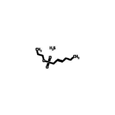 CCCC=CCS(=O)(=O)OCCC.S